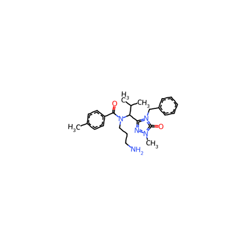 Cc1ccc(C(=O)N(CCCN)C(c2nn(C)c(=O)n2Cc2ccccc2)C(C)C)cc1